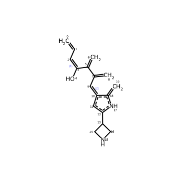 C=C/C=C(/O)C(=C)C(=C)/C=c1/cc(C2CNC2)[nH]c1=C